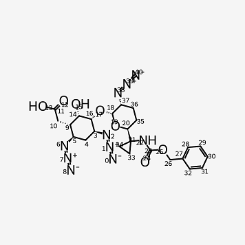 [N-]=[N+]=N[C@H]1C[C@@H](N=[N+]=[N-])[C@H](CC(=O)O)[C@H](O)[C@@H]1O[C@H]1O[C@H](C2(NC(=O)OCc3ccccc3)CC2)CC[C@H]1N=[N+]=[N-]